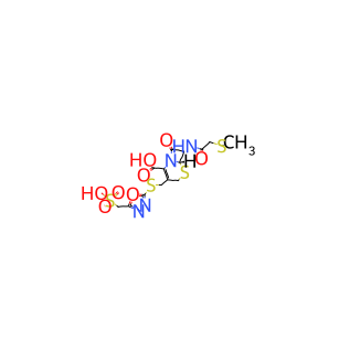 CSCC(=O)NC1C(=O)N2C(C(=O)O)=C(CSc3nnc(CS(=O)(=O)O)o3)CS[C@@H]12